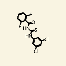 O=C(NC(=S)Nc1cc(Cl)cc(Cl)c1)c1c(F)cccc1F